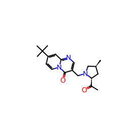 CC(=O)[C@@H]1C[C@H](C)CN1Cc1cnc2cc(C(C)(C)C)ccn2c1=O